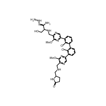 COc1nc(-c2cccc(-c3cccc(-c4cnc(CNC(CO)/C(N)=N/NN)c(OC)n4)c3Cl)c2Cl)cnc1CNCC1CCC(=O)N1